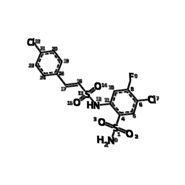 NS(=O)(=O)c1cc(Cl)c(F)cc1NS(=O)(=O)C=Cc1ccc(Cl)cc1